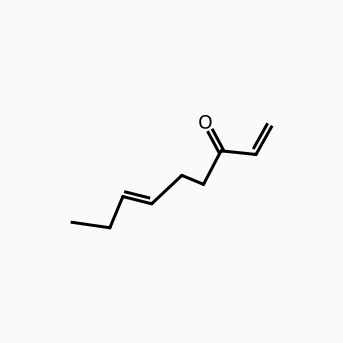 C=CC(=O)CCC=CCC